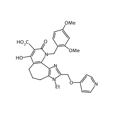 CCn1c(COc2ccncc2)nc2c1CCCc1c(O)c(C(=O)O)c(=O)n(Cc3ccc(OC)cc3OC)c1-2